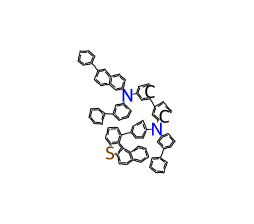 c1ccc(-c2cccc(N(c3ccc(-c4cccc5sc6ccc7ccccc7c6c45)cc3)c3cccc(-c4cccc(N(c5cccc(-c6ccccc6)c5)c5ccc6cc(-c7ccccc7)ccc6c5)c4)c3)c2)cc1